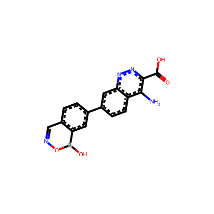 Nc1c(C(=O)O)nnc2cc(-c3ccc4c(c3)B(O)ON=C4)ccc12